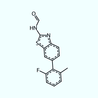 Cc1cccc(F)c1-c1ccc2nc(NC=O)sc2c1